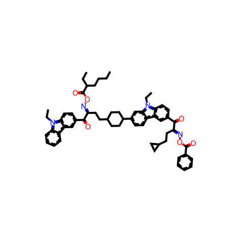 CCCCC(CC)C(=O)O/N=C(\CCC1CCC(c2ccc3c4cc(C(=O)/C(CCC5CC5)=N/OC(=O)c5ccccc5)ccc4n(CC)c3c2)CC1)C(=O)c1ccc2c(c1)c1ccccc1n2CC